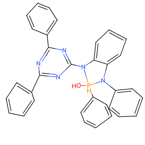 O[PH]1(c2ccccc2)N(c2ccccc2)c2ccccc2N1c1nc(-c2ccccc2)nc(-c2ccccc2)n1